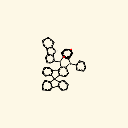 c1ccc(N(c2ccccc2)c2ccc3c(c2N(c2ccccc2)c2cccc4c2oc2ccccc24)-c2ccccc2C32c3ccccc3-c3ccccc32)cc1